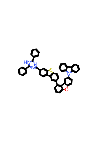 C1=c2sc3ccc(-c4cccc5oc6ccc(-n7c8ccccc8c8ccccc87)cc6c45)cc3c2=CCC1C1N2C(c3ccccc3)NC(c3ccccc3)N12